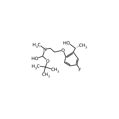 C[C@@H](O)c1cc(F)ccc1OCCN(C)C(O)OC(C)(C)C